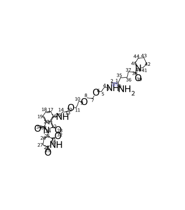 N/C(=C\NCCOCCOCCOCCNc1cccc2c1C(=O)N(C1CCC(=O)NC1=O)C2=O)CCCC(=O)N1CCCCC1